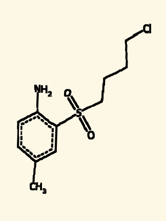 Cc1ccc(N)c(S(=O)(=O)CCCCCl)c1